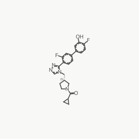 O=C(C1CC1)N1CC[C@H](Cn2cnnc2-c2ccc(-c3ccc(F)c(O)c3)cc2F)C1